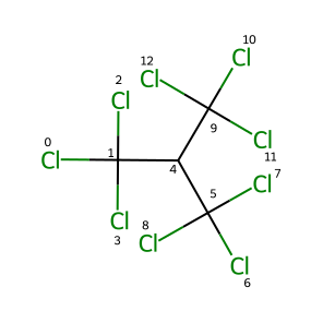 ClC(Cl)(Cl)C(C(Cl)(Cl)Cl)C(Cl)(Cl)Cl